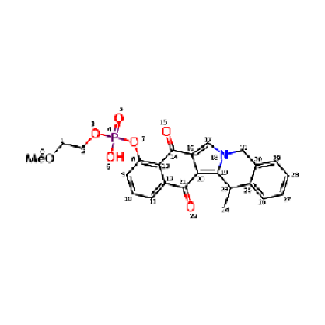 COCCOP(=O)(O)Oc1cccc2c1C(=O)c1cn3c(c1C2=O)C(C)c1ccccc1C3